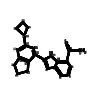 NC(=O)c1cccc2cc(-c3nc(N4CCC4)nc4c3CCC4)[nH]c12